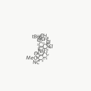 COc1c(C#N)cc2ccccc2c1C(=O)NC[C@@H](CCO[Si](C)(C)C(C)(C)C)c1ccc(Cl)c(Cl)c1